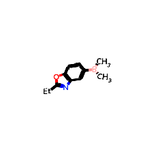 CCc1nc2cc(B(C)C)ccc2o1